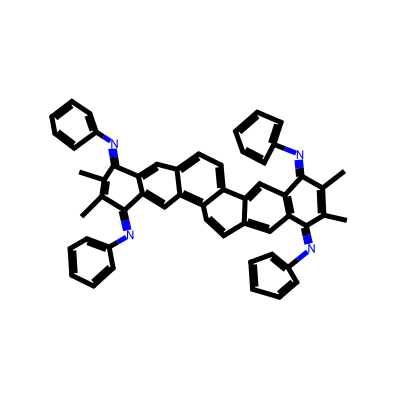 Cc1c(C)/c(=N/c2ccccc2)c2cc3c(ccc4c5cc6/c(=N/c7ccccc7)c(C)c(C)/c(=N\c7ccccc7)c6cc5ccc34)cc2c1=Nc1ccccc1